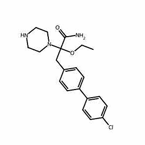 CCOC(Cc1ccc(-c2ccc(Cl)cc2)cc1)(C(N)=O)N1CCNCC1